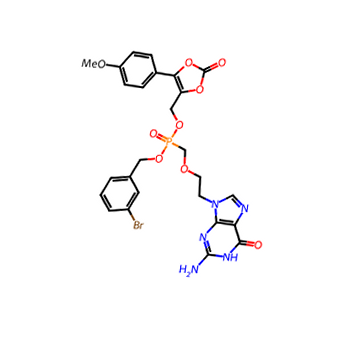 COc1ccc(-c2oc(=O)oc2COP(=O)(COCCn2cnc3c(=O)[nH]c(N)nc32)OCc2cccc(Br)c2)cc1